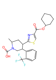 CC1CC(c2nc(C(=O)OC3CCCCC3)cs2)C(c2ccccc2C(F)(F)F)CN1C(=O)O